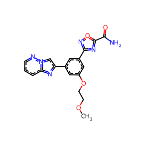 COCCOc1cc(-c2cn3ncccc3n2)cc(-c2noc(C(N)=O)n2)c1